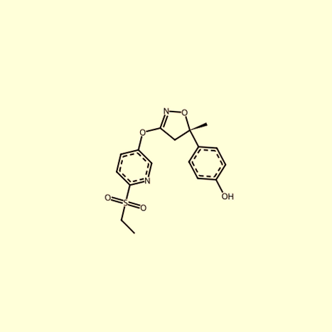 CCS(=O)(=O)c1ccc(OC2=NO[C@](C)(c3ccc(O)cc3)C2)cn1